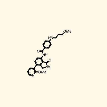 COCCCNc1ccc(C(=O)Nc2ccc(-c3cccnc3OC)c3c2C(=O)NC3)cc1